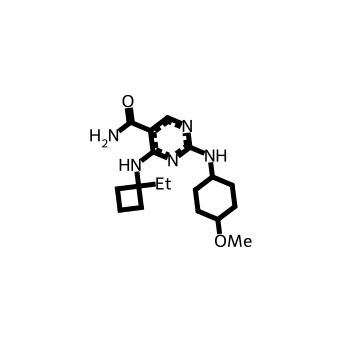 CCC1(Nc2nc(NC3CCC(OC)CC3)ncc2C(N)=O)CCC1